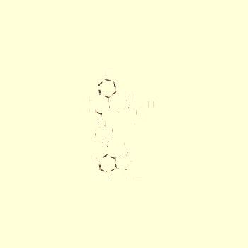 Cc1ccc([C@@H](CN(C)C(C)C)C(=O)N2CCN(c3ncnc4c3[C@H](C)C[C@H]4O)CC2)c(F)c1